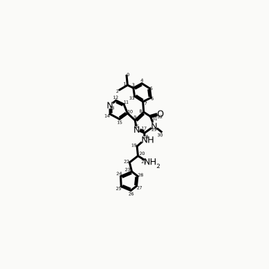 CC(C)c1cccc(-c2c(-c3ccncc3)nc(NCC(N)Cc3ccccc3)n(C)c2=O)c1